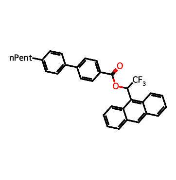 CCCCCc1ccc(-c2ccc(C(=O)OC(c3c4ccccc4cc4ccccc34)C(F)(F)F)cc2)cc1